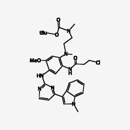 COc1cc(N(C)CCN(C)C(=O)OC(C)(C)C)c(NC(=O)CCCl)cc1Nc1nccc(-c2cn(C)c3ccccc23)n1